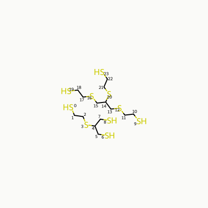 SCCSC(CS)CS.SCCSCC(CSCCS)SCCS